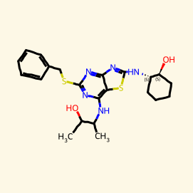 CC(O)C(C)Nc1nc(SCc2ccccc2)nc2nc(N[C@H]3CCCC[C@@H]3O)sc12